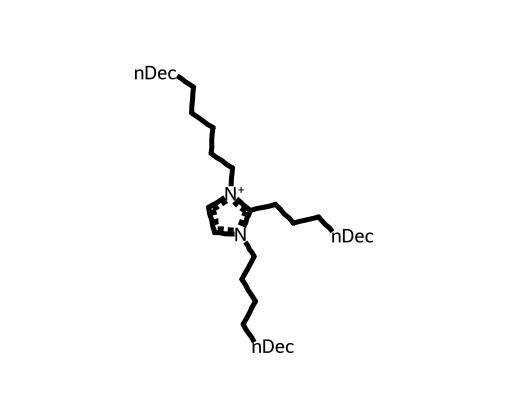 CCCCCCCCCCCCCCC[n+]1ccn(CCCCCCCCCCCCCC)c1CCCCCCCCCCCCC